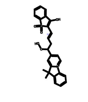 CC1(C)c2ccccc2-[n+]2ccc(C(C/C=C/C3=C(O)c4ccccc4S3(=O)=O)OO)cc21